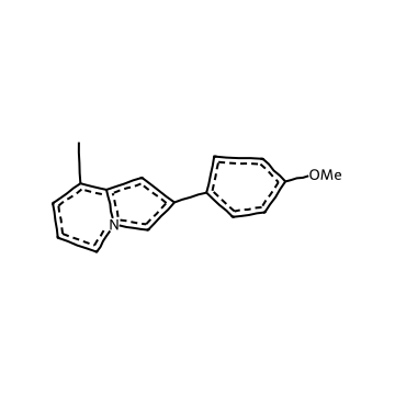 COc1ccc(-c2cc3c(C)cccn3c2)cc1